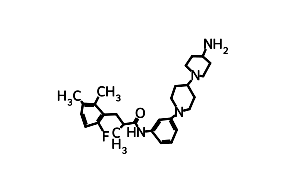 Cc1ccc(F)c(CC(C)C(=O)Nc2cccc(N3CCC(N4CCC(N)CC4)CC3)c2)c1C